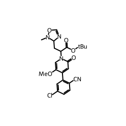 COc1cn(C(CC2N=CON2C)C(=O)OC(C)(C)C)c(=O)cc1-c1cc(Cl)ccc1C#N